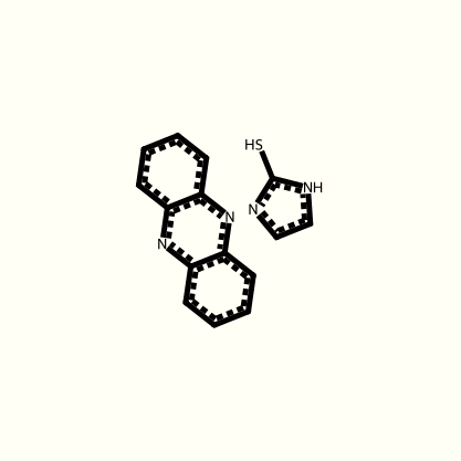 Sc1ncc[nH]1.c1ccc2nc3ccccc3nc2c1